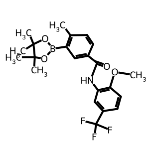 COc1ccc(C(F)(F)F)cc1NC(=O)c1ccc(C)c(B2OC(C)(C)C(C)(C)O2)c1